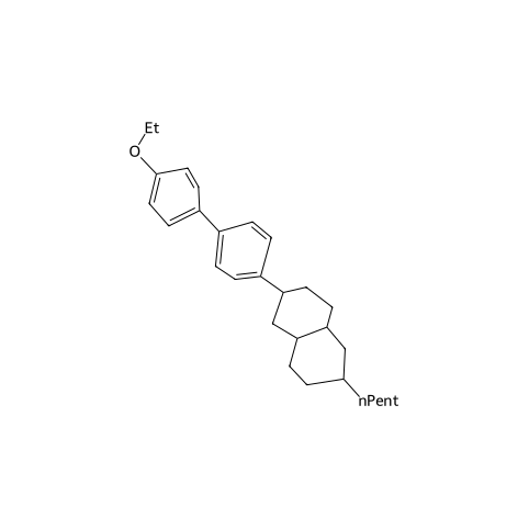 CCCCCC1CCC2CC(c3ccc(-c4ccc(OCC)cc4)cc3)CCC2C1